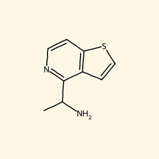 CC(N)c1nccc2sccc12